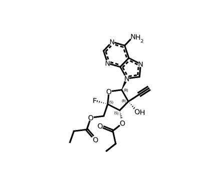 C#C[C@]1(O)[C@H](n2cnc3c(N)ncnc32)O[C@](F)(COC(=O)CC)[C@H]1OC(=O)CC